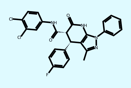 Cc1nn(-c2ccccc2)c2c1[C@H](c1ccc(F)cc1)[C@H](C(=O)Nc1ccc(Cl)c(Cl)c1)C(=O)N2